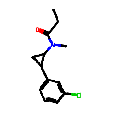 CCC(=O)N(C)C1CC1c1cccc(Cl)c1